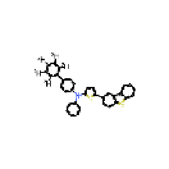 [2H]c1c([2H])c([2H])c(-c2ccc(N(c3ccccc3)c3ccc(-c4ccc5sc6ccccc6c5c4)s3)cc2)c([2H])c1[2H]